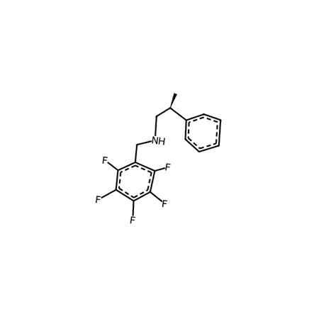 C[C@H](CNCc1c(F)c(F)c(F)c(F)c1F)c1ccccc1